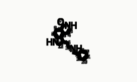 O=c1[nH]ccc2c3c(ccc12)NCC3CCNCc1ccccc1